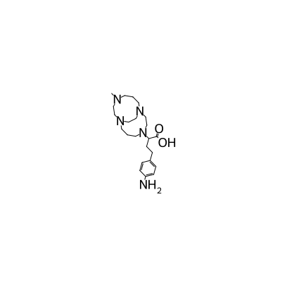 CN1CCCN2CCN(CCCN(C(CCc3ccc(N)cc3)C(=O)O)CC2)CC1